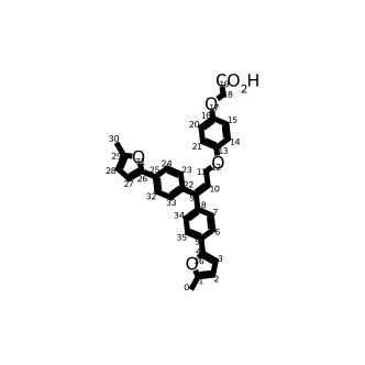 Cc1ccc(-c2ccc(C(=CCOc3ccc(OCC(=O)O)cc3)c3ccc(-c4ccc(C)o4)cc3)cc2)o1